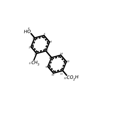 Cc1cc(O)ccc1-c1ccc(C(=O)O)cc1